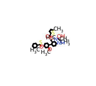 COc1cc(OC(=S)c2ccccc2C)ccc1-c1ccc2c(c1COC(=O)c1ccc(C)s1)N(C)C(O)C(C)(C)N2